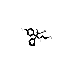 C=CCNC(C(=O)OC(C)(C)C)(c1ccccc1)c1ccc(C)cc1